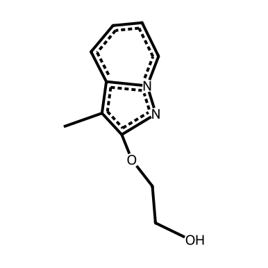 Cc1c(OCCO)nn2ccccc12